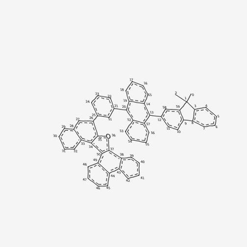 CC1(C)c2ccccc2-c2ccc(-c3c4ccccc4c(-c4cccc(-c5cc6ccccc6c6c5oc5c7ccccc7c7ccccc7c56)c4)c4ccccc34)cc21